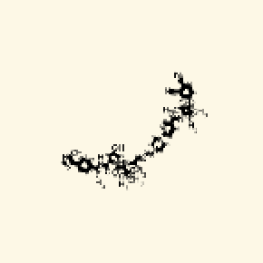 Cc1ncsc1-c1ccc([C@H](C)NC(=O)[C@@H]2C[C@@H](O)CN2C(=O)[C@@H](NC(=O)COCCN2CCN(c3ccc(C(=O)N[C@H]4C(C)(C)[C@H](Oc5ccc(C#N)c(C#N)c5)C4(C)C)cn3)CC2)C(C)(C)C)cc1